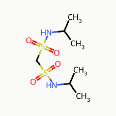 CC(C)NS(=O)(=O)CS(=O)(=O)NC(C)C